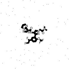 CN(C)C(=O)Cn1cc(NC(=O)c2cnn3cccnc23)c(-c2cc(C(F)CF)ccc2OC(F)F)n1